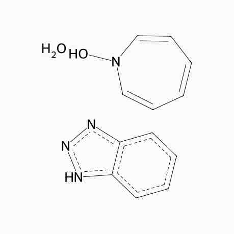 O.ON1C=CC=CC=C1.c1ccc2[nH]nnc2c1